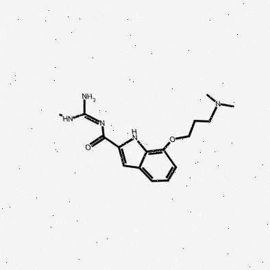 CNC(N)=NC(=O)c1cc2cccc(OCCCN(C)C)c2[nH]1